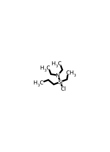 CCC[Si](Cl)(CC)N(CC)CC